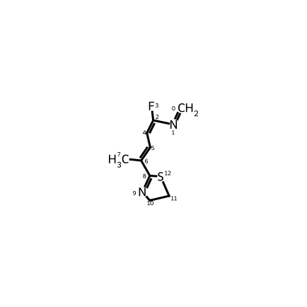 C=N/C(F)=C\C=C(/C)C1=NCCS1